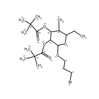 CCC1OC(OCCCBr)C(OC(=O)C(C)(C)C)C(OC(=O)C(C)(C)C)C1C